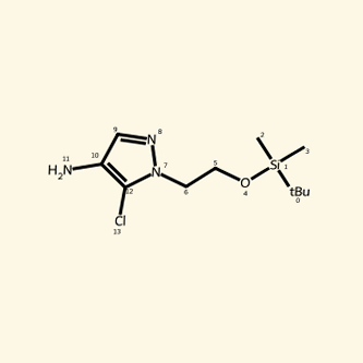 CC(C)(C)[Si](C)(C)OCCn1ncc(N)c1Cl